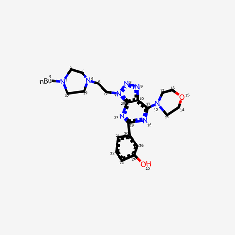 CCCCN1CCN(CCn2nnc3c(N4CCOCC4)nc(-c4cccc(O)c4)nc32)CC1